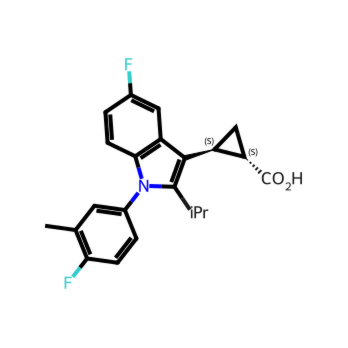 Cc1cc(-n2c(C(C)C)c([C@H]3C[C@@H]3C(=O)O)c3cc(F)ccc32)ccc1F